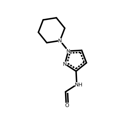 O=CNc1ccn(N2CCCCC2)n1